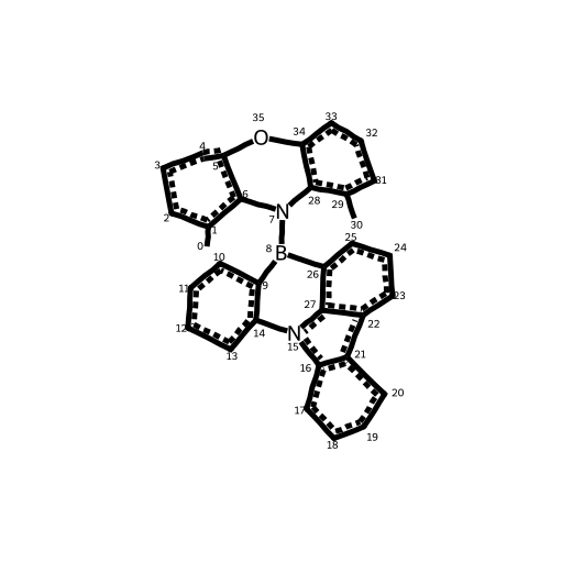 Cc1cccc2c1N(B1c3ccccc3-n3c4ccccc4c4cccc1c43)c1c(C)cccc1O2